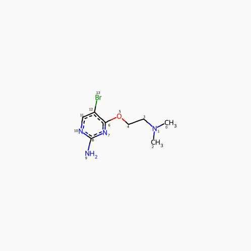 CN(C)CCOc1nc(N)ncc1Br